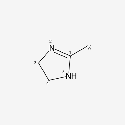 [CH2]C1=NCCN1